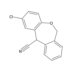 N#CC1c2ccccc2COc2ccc(Cl)cc21